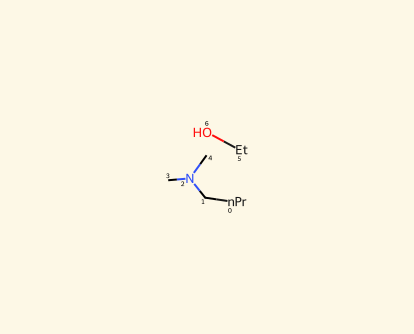 CCCCN(C)C.CCO